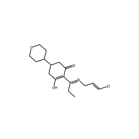 CCC(=NCC=CCl)C1=C(O)CC(C2CCOCC2)CC1=O